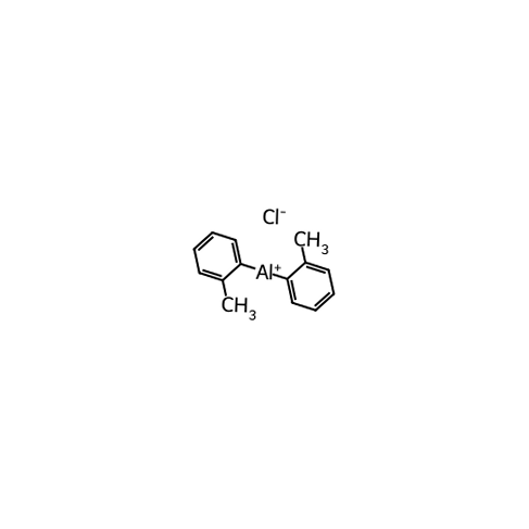 Cc1cccc[c]1[Al+][c]1ccccc1C.[Cl-]